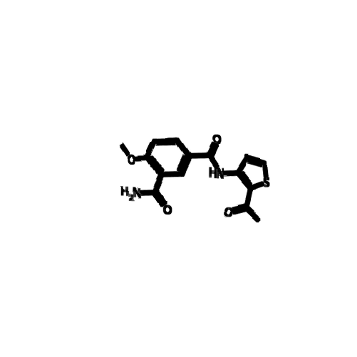 COc1ccc(C(=O)Nc2ccsc2C(C)=O)cc1C(N)=O